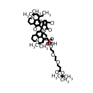 CCC1=CC(C)(C)N2CCCc3c4c(cc1c32)C1(c2cc3c5c(c2O4)CCCN5C(C)(C)C=C3CS(=O)(=O)O)c2c(Cl)ccc(Cl)c2C(=O)N1CCOCCOCCOCCOCCC(=O)OC(C)(C)C